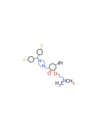 CC(C)c1ccc(CN2CCN(C(c3ccc(F)cc3)c3ccc(F)cc3)CC2)c(=O)c(OCCCN(C)C)c1